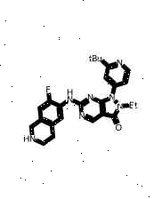 CCn1c(=O)c2cnc(Nc3cc4c(cc3F)CNCC4)nc2n1-c1ccnc(C(C)(C)C)c1